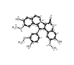 COc1cc(-c2c3c4cc(OC)c(O)cc4oc(=O)c3n3ccc4cc(O)c(OC)cc4c23)ccc1O